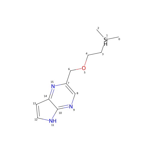 C[SiH](C)CCOCc1cnc2[nH]ccc2n1